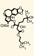 COC1=CC23CCCN2CCc2cc4c(cc2[C@@H]3C1OC(=O)[C@@](O)(CCCC(C)(C)O)CC(=O)OCCN(C)C)OCO4